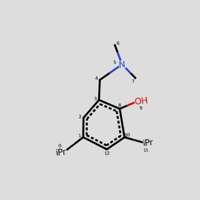 CC(C)c1cc(CN(C)C)c(O)c(C(C)C)c1